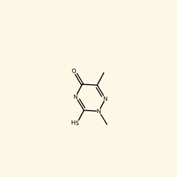 Cc1nn(C)c(S)nc1=O